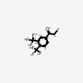 O=C(CI)c1ccc(C(F)(F)F)c(C(F)(F)F)c1